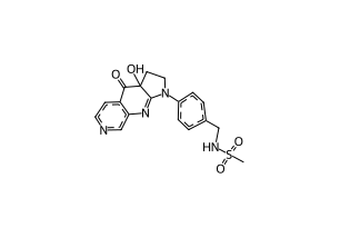 CS(=O)(=O)NCc1ccc(N2CCC3(O)C(=O)c4ccncc4N=C23)cc1